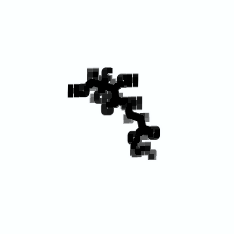 CC(C)(CO)[C@@H](O)C(=O)NCCC(=O)ON